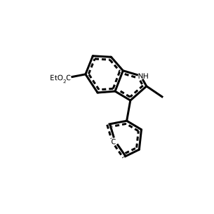 CCOC(=O)c1ccc2[nH]c(C)c(-c3ccccc3)c2c1